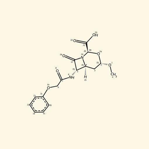 CO[C@@H]1C[C@H]2[C@H](NC(=O)COc3ccccc3)C(=O)N2[C@@H](C(=O)O)O1